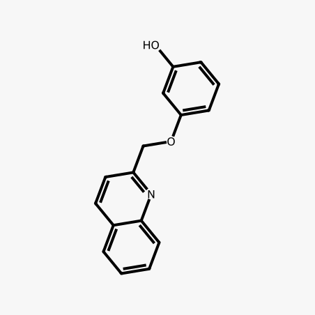 Oc1cccc(OCc2ccc3ccccc3n2)c1